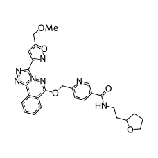 COCc1cc(-c2nnc3c4ccccc4c(OCc4ccc(C(=O)NCCC5CCCO5)cn4)nn23)no1